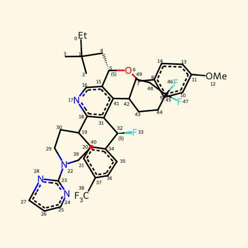 CCC(C)(C)C[C@H](OCc1ccc(OC)cc1)c1cnc(C2CCN(c3ncccn3)CC2)c([C@@H](F)c2ccc(C(F)(F)F)cc2)c1C1CCC(F)(F)CC1